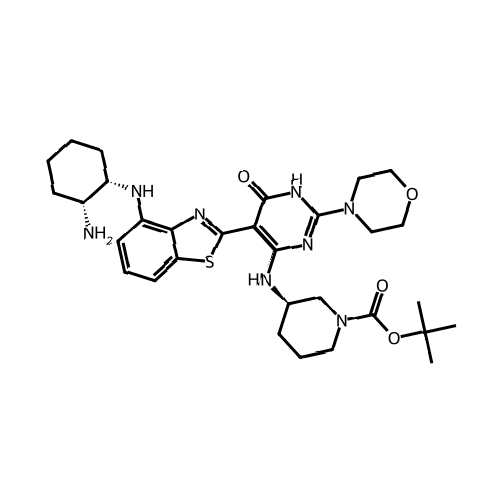 CC(C)(C)OC(=O)N1CCC[C@@H](Nc2nc(N3CCOCC3)[nH]c(=O)c2-c2nc3c(N[C@H]4CCCC[C@H]4N)cccc3s2)C1